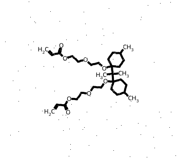 C=CC(=O)OCCOCCOC1(C(C)(C)C2(OCCOCCOC(=O)C=C)CCC(C)CC2)CCC(C)CC1